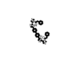 O=C([CH]c1ccccc1)N1CSCC1c1ncc(-c2ccc(-c3ccc(-c4cnc([C@@H]5CSCN5C(=O)[CH]c5ccccc5)[nH]4)cc3)cc2)[nH]1